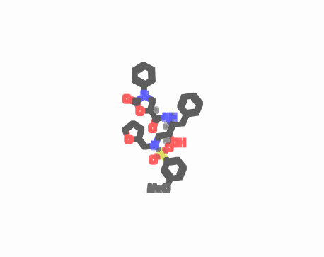 COc1cccc(S(=O)(=O)N(CC2CCCO2)C[C@@H](O)[C@H](Cc2ccccc2)NC(=O)[C@@H]2CN(c3ccccc3)C(=O)O2)c1